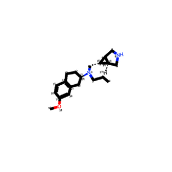 CCCN(C[C@@H]1C2CNC[C@H]21)[C@@H]1CCc2ccc(OC)cc2C1